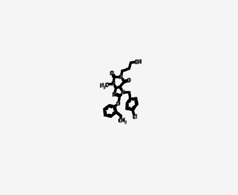 CCc1ccccc1OC1=NC2C(C(=O)N(CCCO)C(=O)N2C)N1Cc1ccc(Cl)cc1